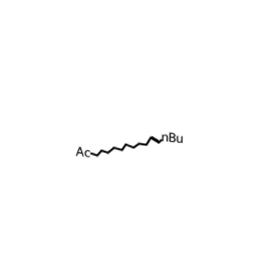 CCCCC=CCCCCCCCCCC(C)=O